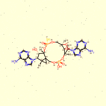 Nc1ncnc2c1ncn2[C@H]1[C@H](O)[C@@H]2O[P@](=O)(S)OC[C@H]3O[C@@H](n4cnc5c(N)ncnc54)[C@H](OP(=O)(O)OCC24C[C@H]14)[C@@H]3O